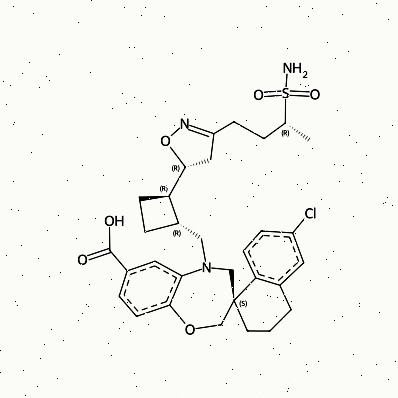 C[C@H](CCC1=NO[C@@H]([C@@H]2CC[C@H]2CN2C[C@@]3(CCCc4cc(Cl)ccc43)COc3ccc(C(=O)O)cc32)C1)S(N)(=O)=O